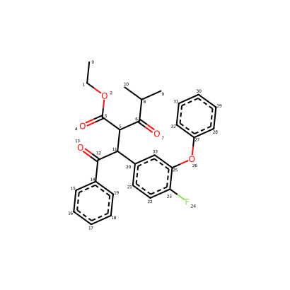 CCOC(=O)C(C(=O)C(C)C)C(C(=O)c1ccccc1)c1ccc(F)c(Oc2ccccc2)c1